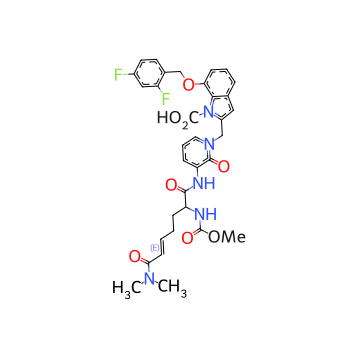 COC(=O)NC(CC/C=C/C(=O)N(C)C)C(=O)Nc1cccn(Cc2cc3cccc(OCc4ccc(F)cc4F)c3n2C(=O)O)c1=O